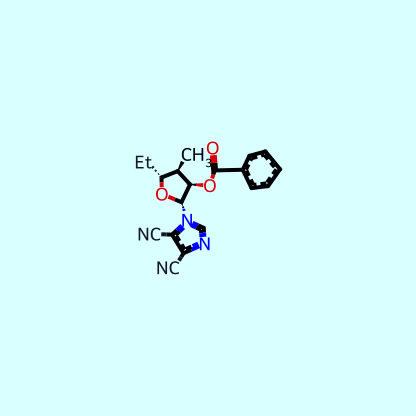 CC[C@H]1O[C@@H](n2cnc(C#N)c2C#N)[C@H](OC(=O)c2ccccc2)[C@@H]1C